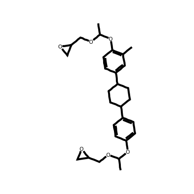 Cc1cc(C2CCC(c3ccc(OC(C)OCC4CO4)cc3)CC2)ccc1OC(C)OCC1CO1